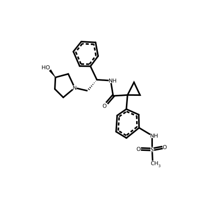 CS(=O)(=O)Nc1cccc(C2(C(=O)N[C@H](CN3CC[C@@H](O)C3)c3ccccc3)CC2)c1